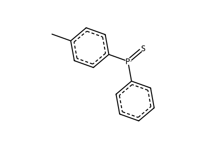 Cc1ccc([P](=S)c2ccccc2)cc1